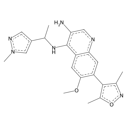 COc1cc2c(NC(C)c3cnn(C)c3)c(N)cnc2cc1-c1c(C)noc1C